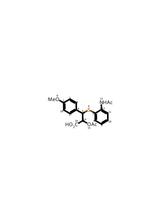 COc1ccc(C(Sc2ccccc2NC(C)=O)C(OC(C)=O)C(=O)O)cc1